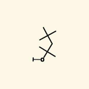 CC(C)(C)CC(C)(C)OI